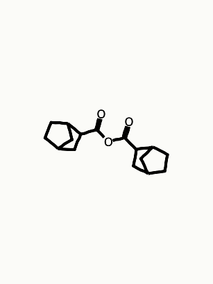 O=C(OC(=O)C1CC2CCC1C2)C1CC2CCC1C2